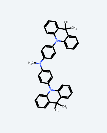 CN(c1ccc(N2c3ccccc3C(C)(C)c3ccccc32)cc1)c1ccc(N2c3ccccc3C(C)(C)c3ccccc32)cc1